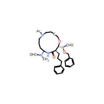 CC(=O)N1CCCCO[C@H](N(C=O)OCc2ccccc2)[C@@H](CCCc2ccccc2)C(=O)N[C@@H](N(C)C=O)CCC1